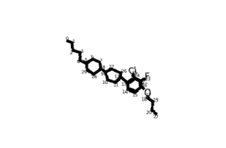 CCCCCC1CCC(C2CCC(c3ccc(OCCCC)c(F)c3Cl)CC2)CC1